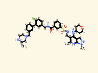 CCc1nc2c(cnn2CC)c(NC2CCOCC2)c1CNS(=O)(=O)c1cccc(C(=O)NCc2ccc(F)c(-c3cccc(CN4CCN[C@@H](C)C4)c3)c2)c1